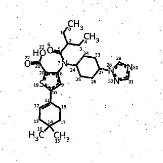 CCC(CC)C(=O)N(c1cc(C2=CCC(C)(C)CC2)sc1C(=O)O)C1CCC(n2cncn2)CC1